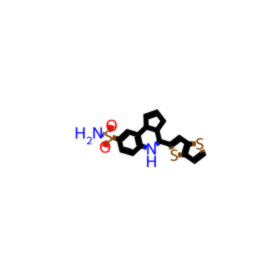 NS(=O)(=O)c1ccc2c(c1)C1C=CCC1C(c1cc3sccc3s1)N2